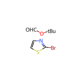 Brc1nccs1.CC(C)(C)OC=O